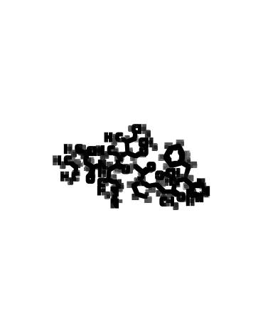 CC[C@H](C)[C@@H]([C@@H](CC(=O)N1CCC[C@H]1[C@H](OC)[C@@H](C)C(=O)N[C@@H](Cc1ccccc1)c1nnn[nH]1)OC)N(C)C(=O)[C@@H](NC(=O)[C@H](C(C)C)N(C)C)C(C)N=[N+]=[N-]